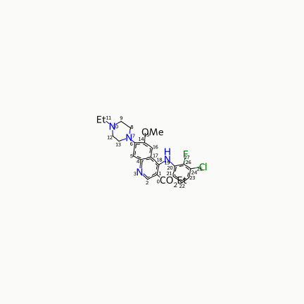 CCOC(=O)c1cnc2cc(N3CCN(CC)CC3)c(OC)cc2c1Nc1cccc(Cl)c1F